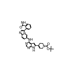 CC(C)(C)OC(=O)N1CC=C(c2cc3c(Nc4ccc5ncc(-c6ccccc6C(N)=O)n5c4)ncnc3[nH]2)CC1